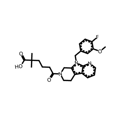 COc1cc(Cn2c3c(c4cccnc42)CCN(C(=O)CCCC(C)(C)C(=O)O)C3)ccc1F